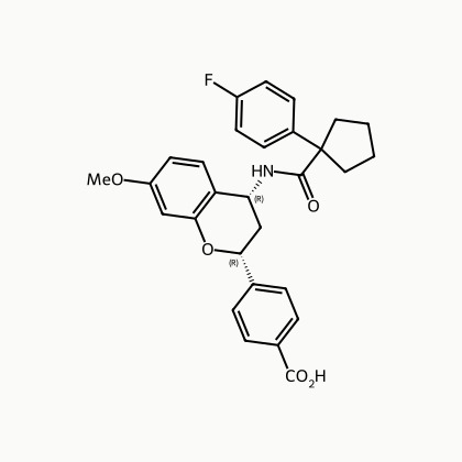 COc1ccc2c(c1)O[C@@H](c1ccc(C(=O)O)cc1)C[C@H]2NC(=O)C1(c2ccc(F)cc2)CCCC1